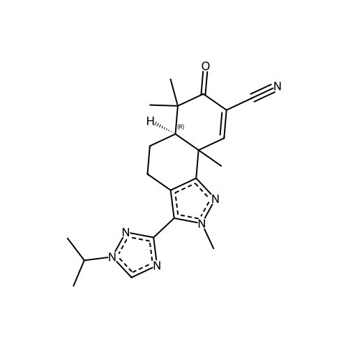 CC(C)n1cnc(-c2c3c(nn2C)C2(C)C=C(C#N)C(=O)C(C)(C)[C@@H]2CC3)n1